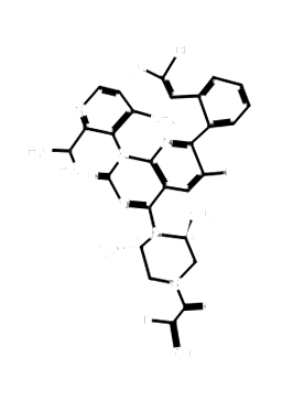 BC(B)=Cc1ccccc1-c1nc2c(cc1F)c(N1[C@@H](C)CN(C(=O)C(=C)F)C[C@@H]1C)nc(=O)n2-c1c(C)ccnc1C(C)C